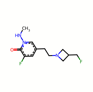 CNn1cc(CCN2CC(CF)C2)cc(F)c1=O